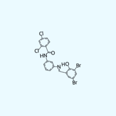 O=C(Nc1cccc(/N=C/c2cc(Br)cc(Br)c2O)c1)c1ccc(Cl)cc1Cl